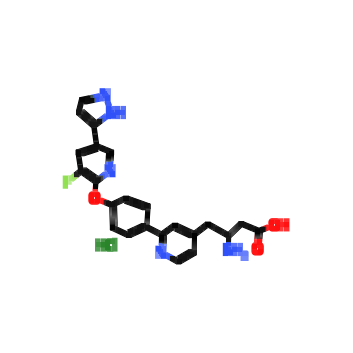 Cl.NC(CC(=O)O)Cc1ccnc(-c2ccc(Oc3ncc(-c4ccn[nH]4)cc3F)cc2)c1